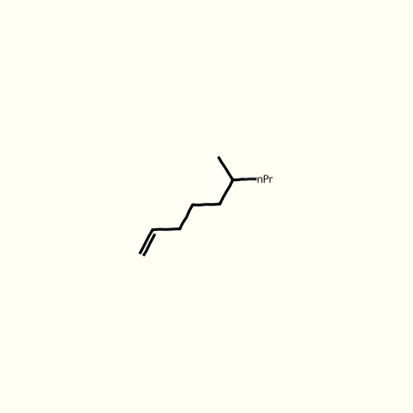 C=CCCCC(C)CCC